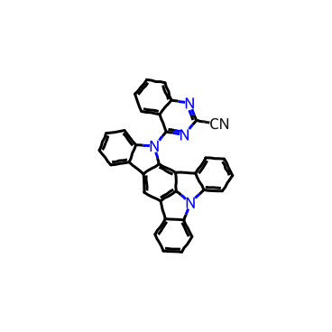 N#Cc1nc(-n2c3ccccc3c3cc4c5ccccc5n5c6ccccc6c(c32)c45)c2ccccc2n1